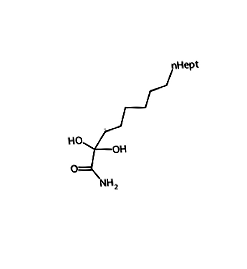 CCCCCCCCCCCC[CH]C(O)(O)C(N)=O